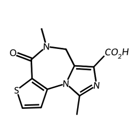 Cc1nc(C(=O)O)c2n1-c1ccsc1C(=O)N(C)C2